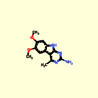 COc1cc2[nH]c3nc(N)nc(C)c3c2cc1OC